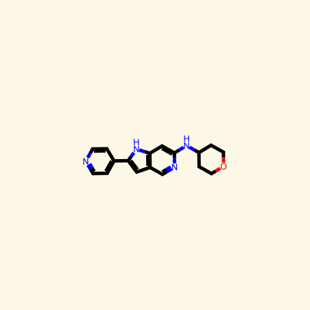 c1cc(-c2cc3cnc(NC4CCOCC4)cc3[nH]2)ccn1